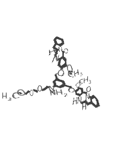 COCCOCCOCCN(N)c1cc(COc2cc3c(cc2OC)C(=O)N2c4ccccc4C[C@H]2C=N3)cc(COc2cc3c(cc2OC)C(=O)N2c4ccccc4C[C@H]2CN3)c1